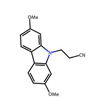 COc1ccc2c3ccc(OC)cc3n(CCC#N)c2c1